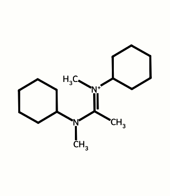 CC(N(C)C1CCCCC1)=[N+](C)C1CCCCC1